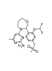 Cc1cc(N2CCCOCC2c2ccc(CS(C)(=O)=O)cc2OC(F)F)nc(N)n1